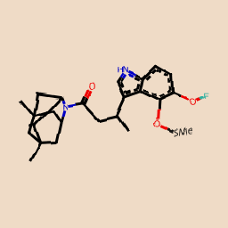 CSOc1c(OF)ccc2[nH]cc(C(C)CC(=O)N3C4CC5(C)CC3CC(C)(C4)C5)c12